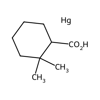 CC1(C)CCCCC1C(=O)O.[Hg]